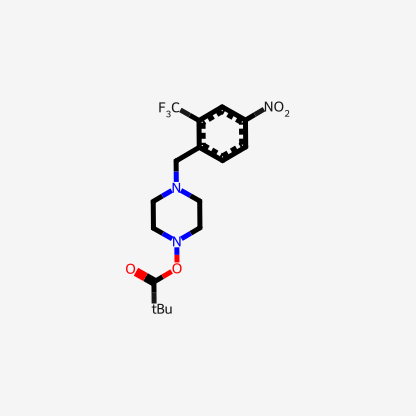 CC(C)(C)C(=O)ON1CCN(Cc2ccc([N+](=O)[O-])cc2C(F)(F)F)CC1